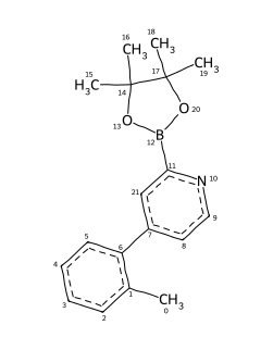 Cc1ccccc1-c1ccnc(B2OC(C)(C)C(C)(C)O2)c1